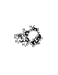 C=C1C[C@@H]2CC[C@@]34C[C@H]5OC6[C@@H](O[C@H]7CC[C@H](CC(=O)CC8[C@H](C[C@H]9O[C@@H](CC[C@@H]1O2)C[C@@H](C)C9=C)O[C@H](C[C@@H](CN)OCC[Si](C)(C)O)[C@@H]8OC)O[C@@H]7[C@@H]6O3)C5O4